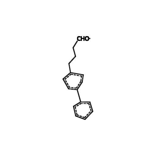 O=[C]CCCc1ccc(-c2ccccc2)cc1